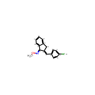 CO/N=C1/C(=C/c2ccc(F)cc2)Cc2ccccc21